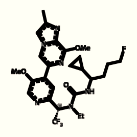 CCN(C(=O)NC(CCCF)C1CC1)[C@@H](c1cc(-c2cn3cc(C)nc3c(OC)n2)c(OC)cn1)C(F)(F)F